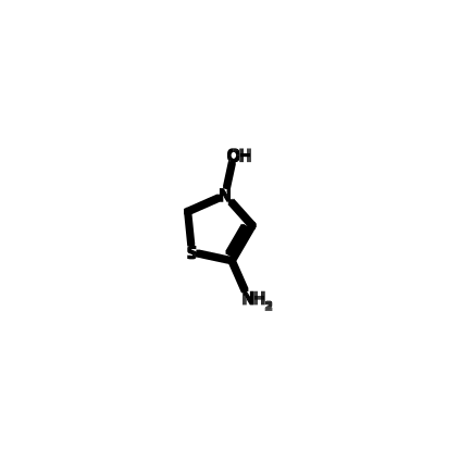 NC1=CN(O)CS1